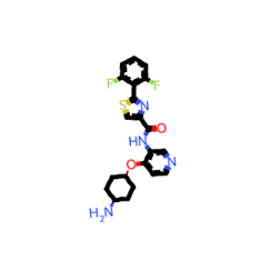 N[C@H]1CC[C@H](Oc2ccncc2NC(=O)c2csc(-c3c(F)cccc3F)n2)CC1